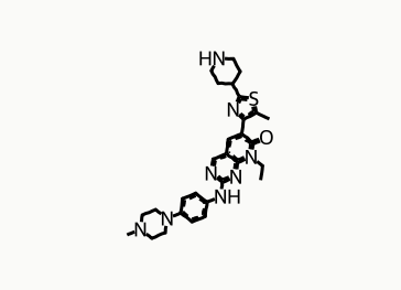 CCn1c(=O)c(-c2nc(C3CCNCC3)sc2C)cc2cnc(Nc3ccc(N4CCN(C)CC4)cc3)nc21